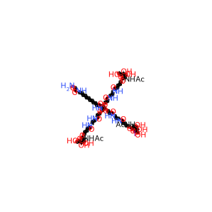 CC(=O)N[C@H]1C(O)[C@@H](O)C(CO)O[C@H]1OCCCCC(=O)NCCCNC(=O)CCOCC(COCCC(=O)NCCCNC(=O)CCCCO[C@@H]1OC(CO)[C@H](O)C(O)[C@@H]1NC(C)=O)(COCCC(=O)NCCCNC(=O)CCCCO[C@@H]1OC(I)(CO)[C@H](O)C(O)[C@@H]1NC(C)=O)NC(=O)CCCCCCCCCCCNC(=O)CON